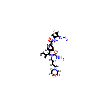 CCC(C)C(c1ccc(C(=O)Nc2cscc2N)nc1)N(CCCCN1CCOCC1)C(N)=O